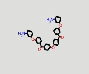 Nc1cccc(Oc2cccc(C(=O)c3ccc(Oc4ccc(C(=O)c5cccc(Oc6cccc(N)c6)c5)cc4)cc3)c2)c1